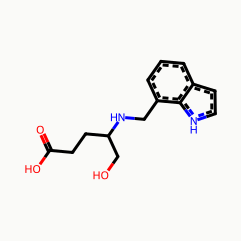 O=C(O)CCC(CO)NCc1cccc2cc[nH]c12